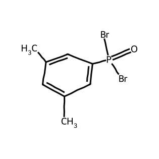 Cc1cc(C)cc(P(=O)(Br)Br)c1